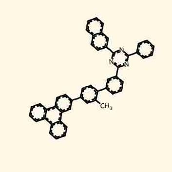 Cc1cc(-c2ccc3c4ccccc4c4ccccc4c3c2)ccc1-c1cccc(-c2nc(-c3ccccc3)nc(-c3ccc4ccccc4c3)n2)c1